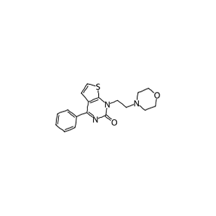 O=c1nc(-c2ccccc2)c2ccsc2n1CCN1CCOCC1